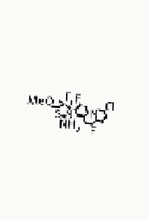 COCC12CC1C(CF)(c1cc(/C=C(/F)c3ccc(Cl)cn3)ccc1F)N=C(N)S2